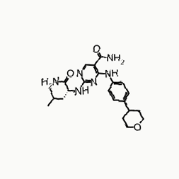 CC(C)C[C@@H](Nc1ncc(C(N)=O)c(Nc2ccc(C3CCOCC3)cc2)n1)C(N)=O